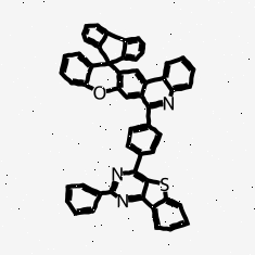 c1ccc(-c2nc(-c3ccc(-c4nc5ccccc5c5cc6c(cc45)Oc4ccccc4C64c5ccccc5-c5ccccc54)cc3)c3sc4ccccc4c3n2)cc1